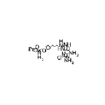 CC(C)OC(=O)[C@@H](N)COc1ccc(CCCCNC(=N)NC(=O)c2nc(Cl)c(N)nc2N)cc1